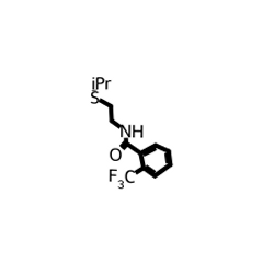 CC(C)SCCNC(=O)c1ccccc1C(F)(F)F